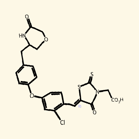 O=C(O)CN1C(=O)/C(=C/c2ccc(Oc3ccc(CC4COCC(=O)N4)cc3)cc2Cl)SC1=S